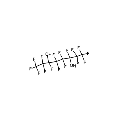 OC(F)(C(F)(F)C(F)(F)F)C(F)(F)C(F)(F)C(O)(F)C(F)(F)C(F)(F)F